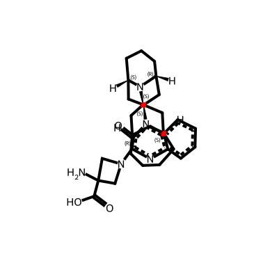 NC1(C(=O)O)CN(c2nc3ccccc3n([C@@H]3C[C@H]4CCC[C@@H](C3)N4[C@@H]3C[C@@H]4CCCC[C@@H](C4)C3)c2=O)C1